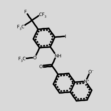 O=C(Nc1c(I)cc(C(F)(C(F)(F)F)C(F)(F)F)cc1OC(F)(F)F)c1ccc2ccc[n+]([O-])c2c1